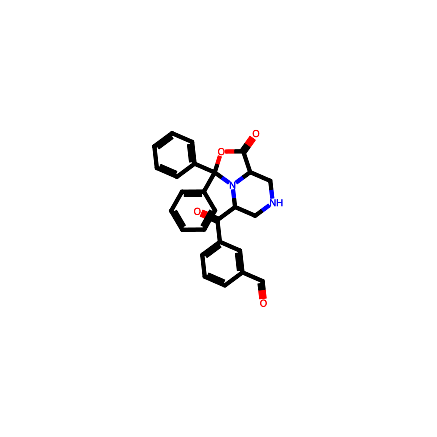 O=Cc1cccc(C(=O)C2CNCC3C(=O)OC(c4ccccc4)(c4ccccc4)N32)c1